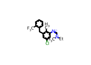 CCN(C)/C=N\c1cc(Cl)cc(Cc2ccccc2C(F)(F)F)c1C